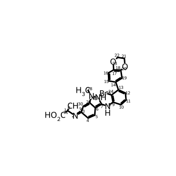 CC(N=c1ccc2c(Nc3cccc(-c4ccc5c(c4)OCCO5)c3Br)[nH]n(C)c-2c1)C(=O)O